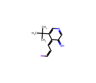 CC(C)(C)C1=CN=CC(=N)/C1=C\C=C/I